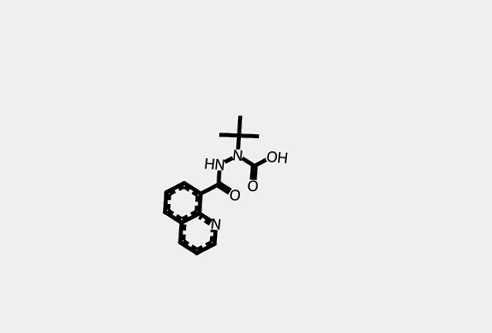 CC(C)(C)N(NC(=O)c1cccc2cccnc12)C(=O)O